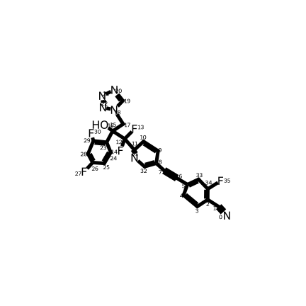 N#Cc1ccc(C#Cc2ccc(C(F)(F)C(O)(Cn3cnnn3)c3ccc(F)cc3F)nc2)cc1F